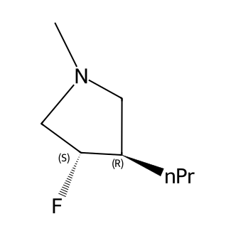 CCC[C@@H]1CN(C)C[C@H]1F